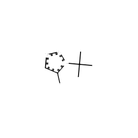 CC(C)(C)n1nncc1F